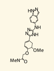 CNC(=O)COC1=CC=C(c2nnc(Nc3ccc4[nH]ncc4c3)[nH]2)CC1OC